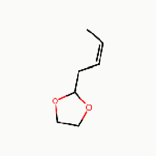 C/C=C\CC1OCCO1